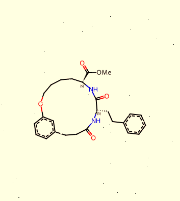 COC(=O)[C@@H]1CCCCOc2cccc(c2)CCC(=O)N[C@@H](CCc2ccccc2)C(=O)N1